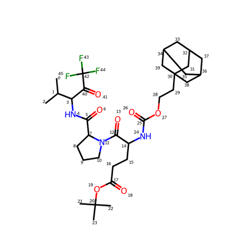 CC(C)C(NC(=O)C1CCCN1C(=O)C(CCC(=O)OC(C)(C)C)NC(=O)OCCC12CC3CC(CC(C3)C1)C2)C(=O)C(F)(F)F